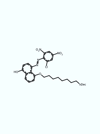 CCCCCCCCCCCCCCCCCCOc1cccc2c(O)ccc(N=Nc3c(Cl)cc([N+](=O)[O-])cc3[N+](=O)[O-])c12